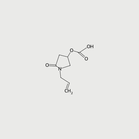 C=CCN1CC(OC(=O)O)CC1=O